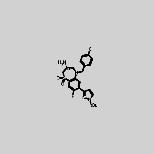 CC(C)(C)n1ccc(-c2cc3c(cc2F)S(=O)(=O)C[C@H](N)CN3Cc2ccc(Cl)cc2)n1